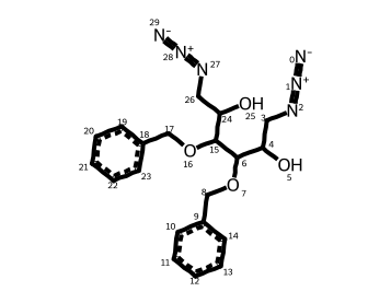 [N-]=[N+]=NCC(O)C(OCc1ccccc1)C(OCc1ccccc1)C(O)CN=[N+]=[N-]